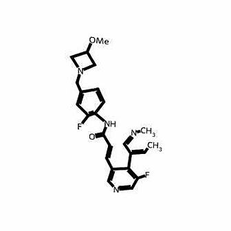 C/C=C(\C=N/C)c1c(F)cncc1/C=C/C(=O)Nc1ccc(CN2CC(OC)C2)cc1F